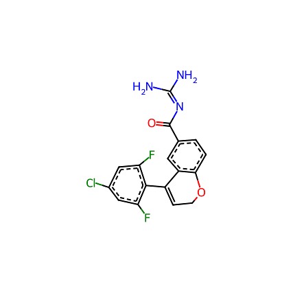 NC(N)=NC(=O)c1ccc2c(c1)C(c1c(F)cc(Cl)cc1F)=CCO2